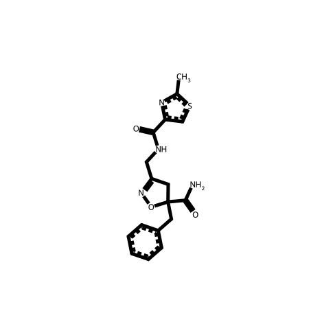 Cc1nc(C(=O)NCC2=NOC(Cc3ccccc3)(C(N)=O)C2)cs1